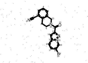 N#Cc1cccc2c1CCN(C(=O)c1cc3ccc(Br)cn3n1)C2